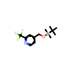 CC(C)(C)[Si](C)(C)OCc1ccnc(C(F)(F)F)c1